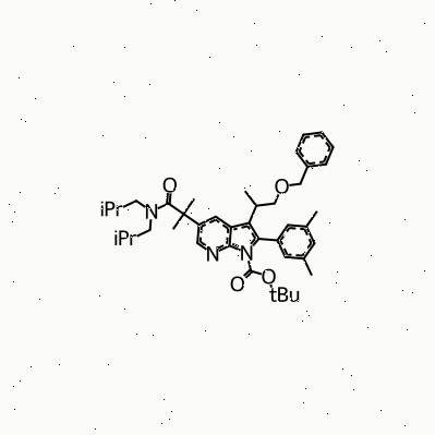 Cc1cc(C)cc(-c2c(C(C)COCc3ccccc3)c3cc(C(C)(C)C(=O)N(CC(C)C)CC(C)C)cnc3n2C(=O)OC(C)(C)C)c1